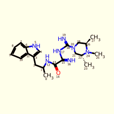 CC(Cc1c[nH]c2ccccc12)NC(=O)C(=N)NC(=N)N1C[C@@H](C)N(C)[C@H](C)C1